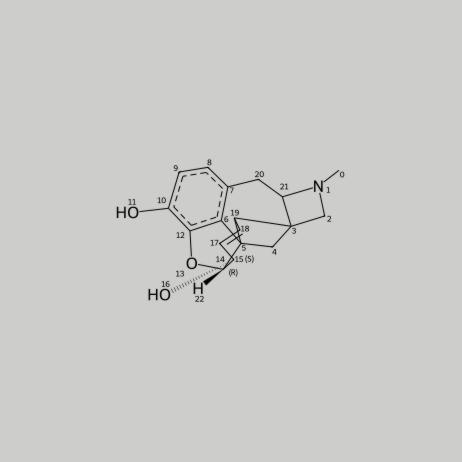 CN1CC23CC45c6c(ccc(O)c6O[C@H]4[C@@H](O)C=CC25)CC13